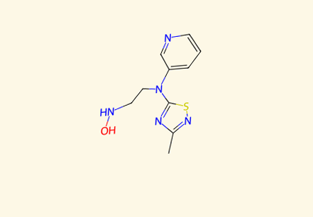 Cc1nsc(N(CCNO)c2cccnc2)n1